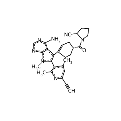 C#Cc1cc(C)c(-c2c(C3=CC[C@H](C(=O)N4CCCC4C#N)CC3)c3c(N)ncnc3n2C)c(C)n1